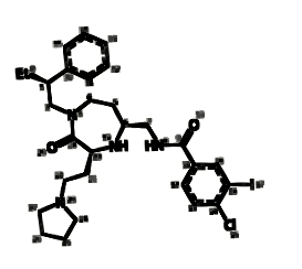 CC[C@H](CN1CC[C@@H](CNC(=O)c2ccc(Cl)c(I)c2)N[C@@H](CCN2CCCC2)C1=O)c1ccccc1